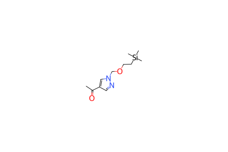 CC(=O)c1cnn(COCC[Si](C)(C)C)c1